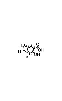 Cc1cc(C(=O)O)c(O)c(I)c1C